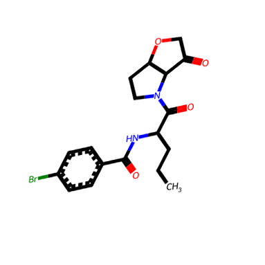 CCCC(NC(=O)c1ccc(Br)cc1)C(=O)N1CCC2OCC(=O)C21